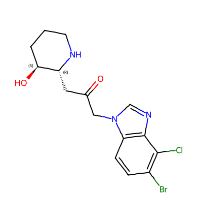 O=C(C[C@H]1NCCC[C@@H]1O)Cn1cnc2c(Cl)c(Br)ccc21